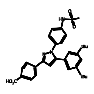 CC(C)(C)c1cc(-c2cc(-c3ccc(C(=O)O)cc3)nn2-c2ccc(NS(C)(=O)=O)cc2)cc(C(C)(C)C)c1